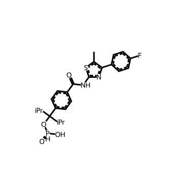 Cc1sc(NC(=O)c2ccc(C(O[PH](=O)O)(C(C)C)C(C)C)cc2)nc1-c1ccc(F)cc1